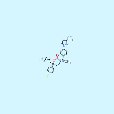 C=CC[C@]1(c2ccc(F)cc2)CCN([C@@H](C)c2ccc(-n3ccc(C(F)(F)F)n3)cc2)C(=O)O1